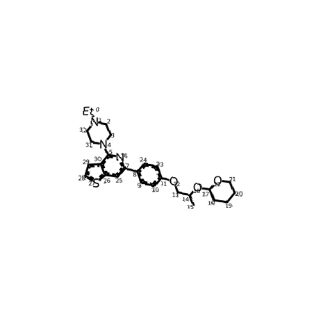 CCN1CCN(c2nc(-c3ccc(OCC(C)OC4CCCCO4)cc3)cc3sccc23)CC1